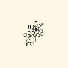 Nc1c(F)cc(F)cc1NC(=O)c1cc(NC(=O)[C@H]2[C@H](c3ccc(F)c(Cl)c3)C2(Cl)Cl)ccc1Cl